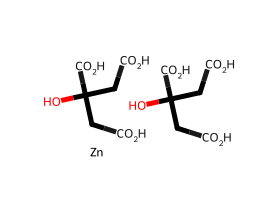 O=C(O)CC(O)(CC(=O)O)C(=O)O.O=C(O)CC(O)(CC(=O)O)C(=O)O.[Zn]